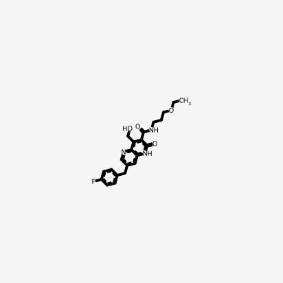 CCOCCCNC(=O)c1c(CO)c2ncc(Cc3ccc(F)cc3)cc2[nH]c1=O